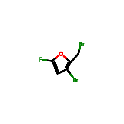 Fc1cc(Br)c(CBr)o1